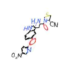 N#C[C@@H]1CSCN1C(=O)[C@@H](N)Cc1c[nH]c2ccc(Oc3ccc([N+](=O)[O-])cn3)cc12